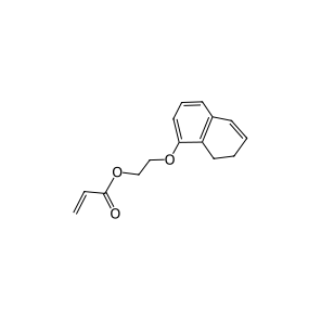 C=CC(=O)OCCOc1cccc2c1CCC=C2